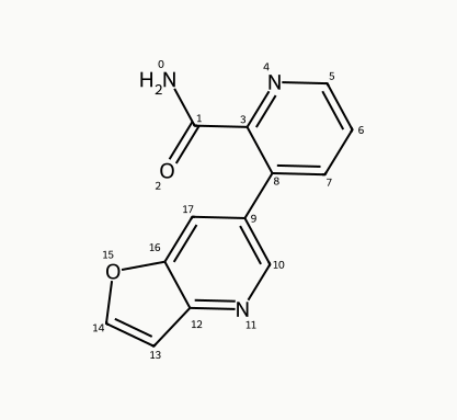 NC(=O)c1ncccc1-c1cnc2ccoc2c1